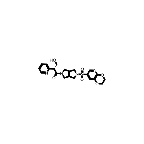 O=C([C@@H](CO)c1ccccn1)N1CC2=C(C1)CN(S(=O)(=O)c1cnc3c(c1)OCCO3)C2